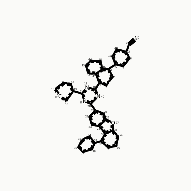 N#Cc1ccc(-c2ccc(-c3nc(-c4ccccc4)nc(-c4ccc5c(c4)oc4cccc(-c6ccccc6)c45)n3)c3ccccc23)cc1